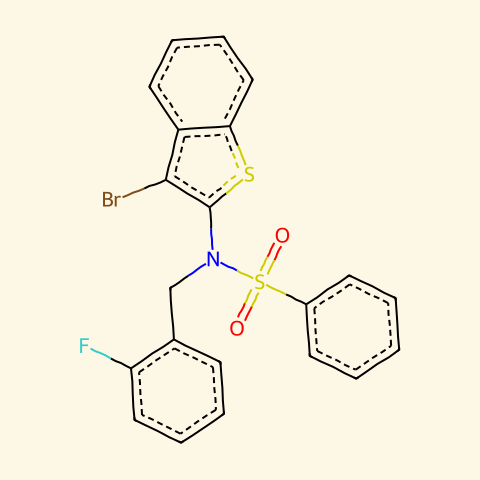 O=S(=O)(c1ccccc1)N(Cc1ccccc1F)c1sc2ccccc2c1Br